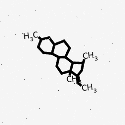 C/C=C1\CC(C)C2C3CCC4CC(C)CCC4C3CCC12C